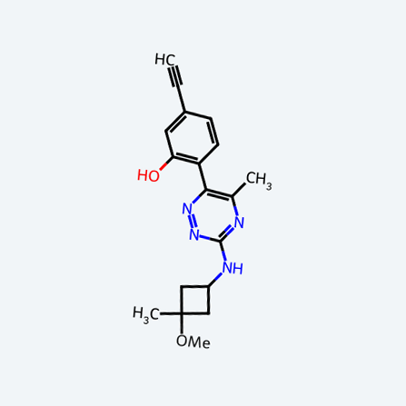 C#Cc1ccc(-c2nnc(NC3CC(C)(OC)C3)nc2C)c(O)c1